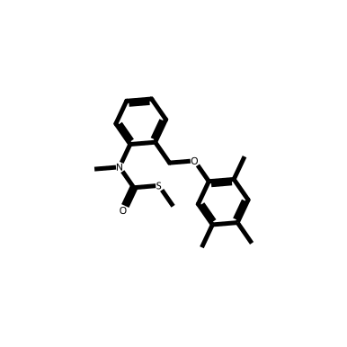 CSC(=O)N(C)c1ccccc1COc1cc(C)c(C)cc1C